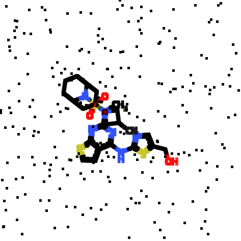 CN(c1nc(Nc2ncc(CO)s2)c2ccsc2n1)C1CC2CCCC(C1)N2S(=O)(=O)N1CC(C#N)C1